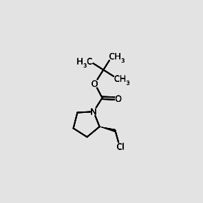 CC(C)(C)OC(=O)N1CCC[C@@H]1CCl